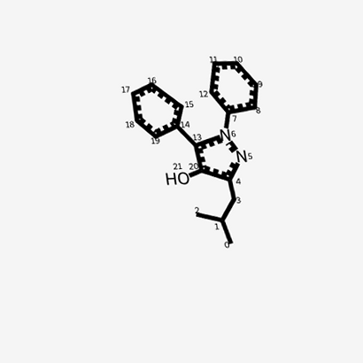 CC(C)Cc1nn(-c2ccccc2)c(-c2ccccc2)c1O